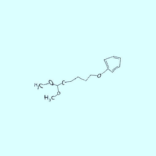 CO[C](CCCCCOc1ccccc1)OC